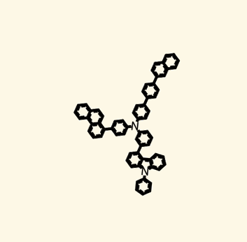 c1ccc(-n2c3ccccc3c3c(-c4cccc(N(c5ccc(-c6ccc(-c7ccc8ccccc8c7)cc6)cc5)c5ccc(-c6cccc7c6ccc6ccccc67)cc5)c4)cccc32)cc1